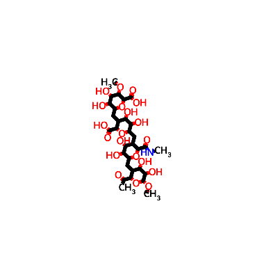 CNC(=O)C1OC(CC2C(C(C)=O)OC(OC)C(O)C2O)C(O)C(O)C1CC1OC(C(=O)O)C(CC2OC(C(=O)O)C(OC)C(O)C2O)C(O)C1O